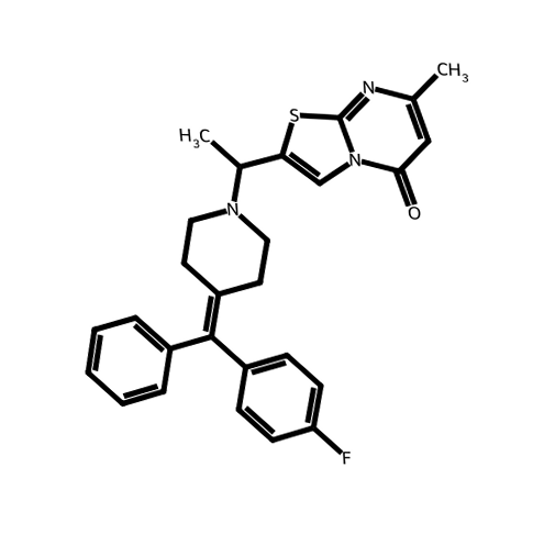 Cc1cc(=O)n2cc(C(C)N3CCC(=C(c4ccccc4)c4ccc(F)cc4)CC3)sc2n1